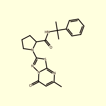 Cc1cc(=O)n2nc(N3CCCC3C(=O)NC(C)(C)c3ccccc3)sc2n1